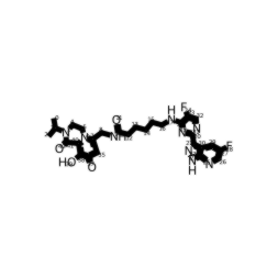 CC(C)N1CCn2c(CNC(=O)CCCCCNc3nc(-c4n[nH]c5ncc(F)cc45)ncc3F)cc(=O)c(O)c2C1=O